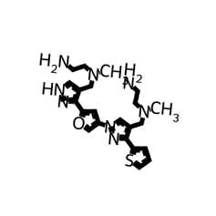 CN(CCN)Cc1c[nH]nc1-c1cc(-n2cc(CN(C)CCN)c(-c3cccs3)n2)co1